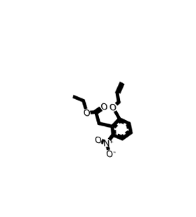 C=CCOc1cccc([N+](=O)[O-])c1CC(=O)OCC